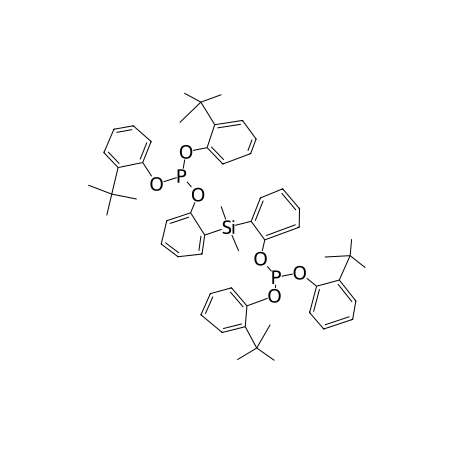 CC(C)(C)c1ccccc1OP(Oc1ccccc1C(C)(C)C)Oc1ccccc1[Si](C)(C)c1ccccc1OP(Oc1ccccc1C(C)(C)C)Oc1ccccc1C(C)(C)C